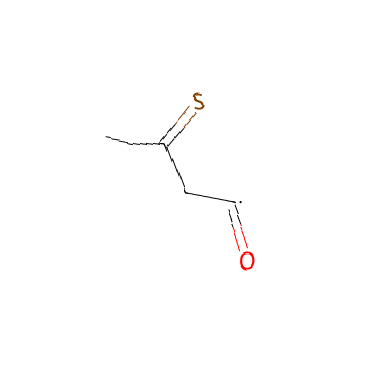 CC(=S)C[C]=O